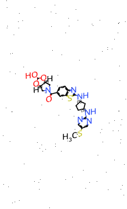 CSc1cnc(N[C@H]2CC[C@H](Nc3nc4ccc(C(=O)N5C[C@@H]6OC(O)O[C@@H]6C5)cc4s3)C2)nc1